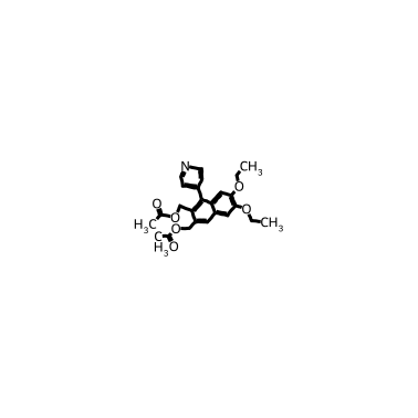 CCOc1cc2cc(COC(C)=O)c(COC(C)=O)c(-c3ccncc3)c2cc1OCC